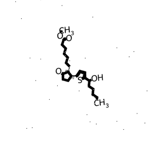 CCCCCC(O)c1ccc([C@H]2CCC(=O)[C@@H]2CCCCCCC(=O)OC)s1